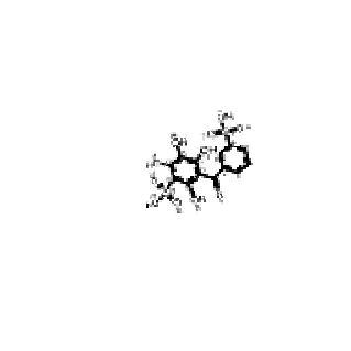 O=C(c1cccc(S(=O)(=O)O)c1)c1c(O)c(O)c(O)c(S(=O)(=O)O)c1O